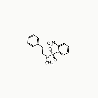 CN(CCc1ccccc1)S(=O)(=O)c1ccccc1[N+](=O)[O-]